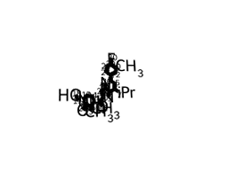 Cc1cc(-c2cc(C(C)C)c3nc(C(=O)N4CCN(CO)C(=O)C4(C)C)cn3n2)ccc1F